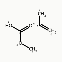 C=CC.COC(=O)O